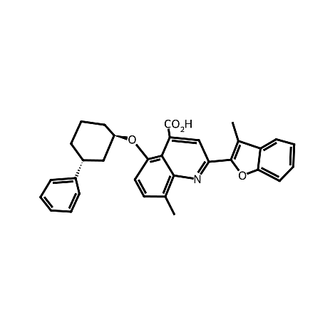 Cc1c(-c2cc(C(=O)O)c3c(O[C@@H]4CCC[C@@H](c5ccccc5)C4)ccc(C)c3n2)oc2ccccc12